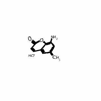 Cc1cc(N)c2oc(=O)ccc2c1.Cl